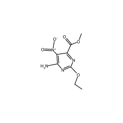 CCOc1nc(N)c([N+](=O)[O-])c(C(=O)OC)n1